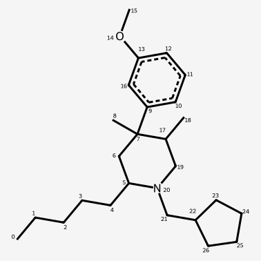 CCCCCC1CC(C)(c2cccc(OC)c2)C(C)CN1CC1CCCC1